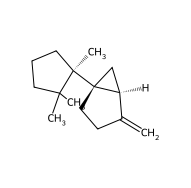 C=C1CC[C@@]2([C@]3(C)CCCC3(C)C)C[C@@H]12